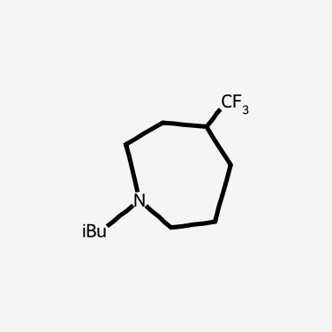 CCC(C)N1CCCC(C(F)(F)F)CC1